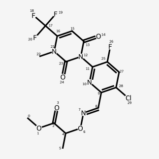 COC(=O)C(C)O/N=C/c1nc(-n2c(=O)cc(C(F)(F)F)n(C)c2=O)c(F)cc1Cl